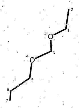 C[CH]OCOCCC